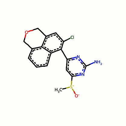 C[S+]([O-])c1cc(-c2c(Cl)cc3c4c(cccc24)COC3)nc(N)n1